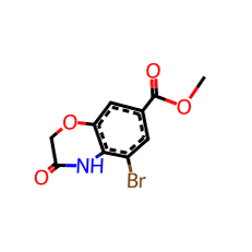 COC(=O)c1cc(Br)c2c(c1)OCC(=O)N2